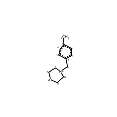 Cc1ccc(CN2CCOCC2)cc1